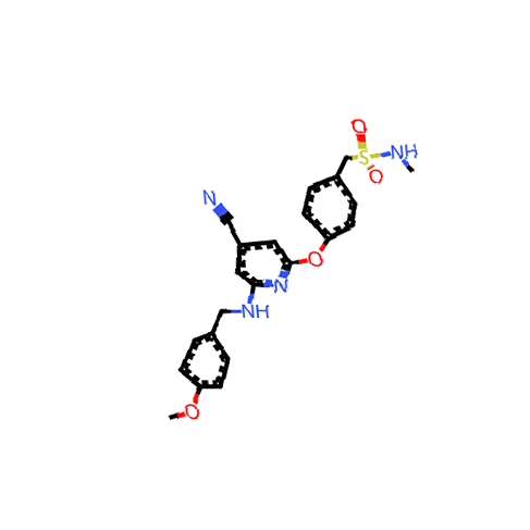 CNS(=O)(=O)Cc1ccc(Oc2cc(C#N)cc(NCc3ccc(OC)cc3)n2)cc1